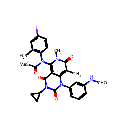 Bc1cc(I)ccc1N(C(=O)SC)c1c2c(=O)n(C3CC3)c(=O)n(-c3cccc(NC=O)c3)c2c(C)c(=O)n1C